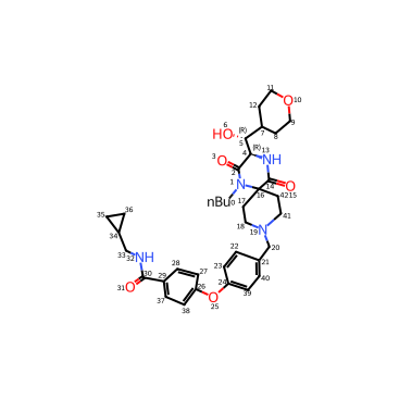 CCCCN1C(=O)[C@@H]([C@H](O)C2CCOCC2)NC(=O)C12CCN(Cc1ccc(Oc3ccc(C(=O)NCC4CC4)cc3)cc1)CC2